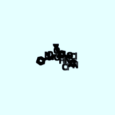 CC1(COc2cc(C(=O)Nc3c(Cl)cncc3Cl)ccc2OC2CC2)CC(c2ccccc2)=NO1